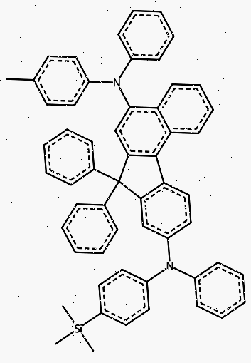 Cc1ccc(N(c2ccccc2)c2cc3c(c4ccccc24)-c2ccc(N(c4ccccc4)c4ccc([Si](C)(C)C)cc4)cc2C3(c2ccccc2)c2ccccc2)cc1